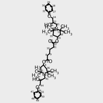 CC1(C)CC(OC(=O)CCCCC(=O)OC2CC(C)(C)N(CC(O)COc3ccccc3)C(C)(C)C2)CC(C)(C)N1CC(O)COc1ccccc1